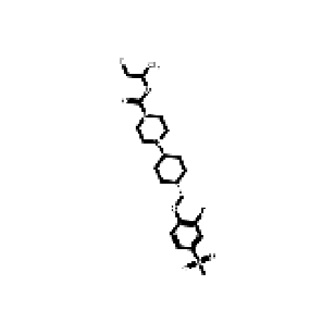 CS(=O)(=O)c1ccc(OC[C@H]2CC[C@H](N3CCN(C(=O)OC(CF)C(F)(F)F)CC3)CC2)c(F)c1